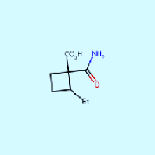 CCC1CCC1(C(N)=O)C(=O)O